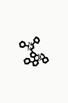 C1=CN2B(c3ccccc31)c1cccc(-c3ccccc3)c1-c1ccc(-c3cc(-c4ccccc4)nc(-c4ccccc4)n3)cc12